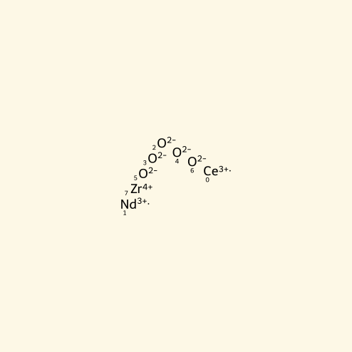 [Ce+3].[Nd+3].[O-2].[O-2].[O-2].[O-2].[O-2].[Zr+4]